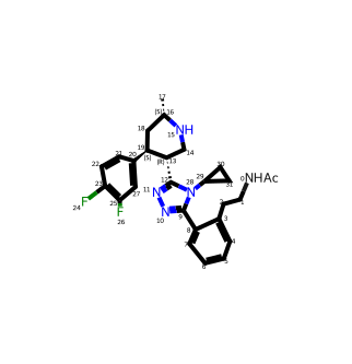 CC(=O)NCCc1ccccc1-c1nnc([C@H]2CN[C@@H](C)C[C@@H]2c2ccc(F)c(F)c2)n1C1CC1